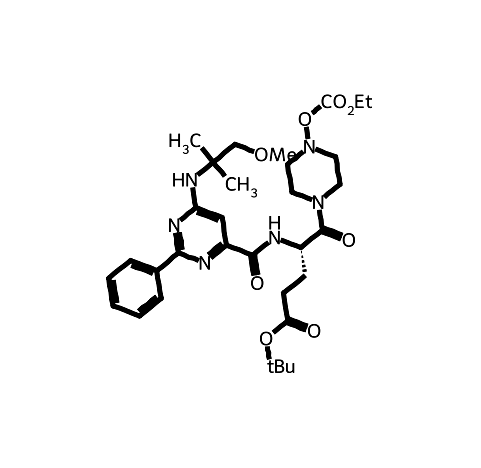 CCOC(=O)ON1CCN(C(=O)[C@H](CCC(=O)OC(C)(C)C)NC(=O)c2cc(NC(C)(C)COC)nc(-c3ccccc3)n2)CC1